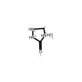 Cl.O=C1NCNN1